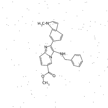 COC(=O)c1ccc2nc(-c3ccc4ccn(C)c4c3)c(NCc3ccccc3)n2c1